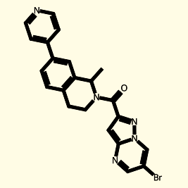 CC1c2cc(-c3ccncc3)ccc2CCN1C(=O)c1cc2ncc(Br)cn2n1